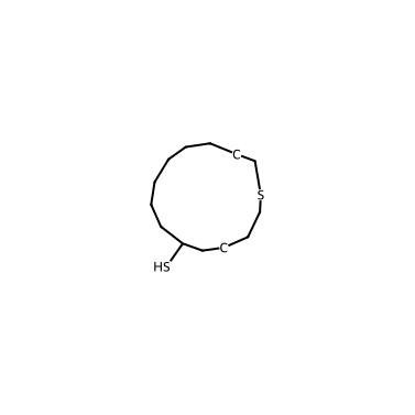 SC1CCCCCCCCSCCCC1